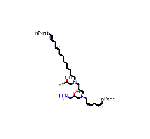 CCCCC/C=C\C/C=C\CN(CCCN(CCCCCCCC/C=C/C/C=C/CCCCC)CC(O)CC)CC(O)CN